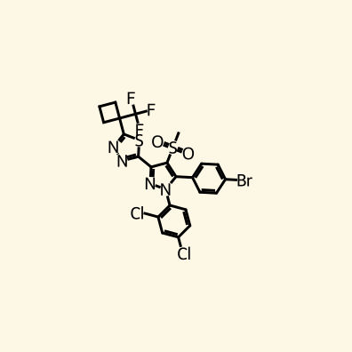 CS(=O)(=O)c1c(-c2nnc(C3(C(F)(F)F)CCC3)s2)nn(-c2ccc(Cl)cc2Cl)c1-c1ccc(Br)cc1